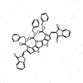 O=C(OCc1ccccc1)n1c(C=C2C(=S)c3ccccc3C2=S)cc2sc3c4sc5cc(/C=C6\Cc7ccccc7C6=S)n(C(=O)OCc6ccccc6)c5c4n(C(=O)OCc4ccccc4)c3c21